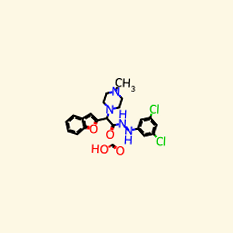 CN1CCN(C(C(=O)NNc2cc(Cl)cc(Cl)c2)c2cc3ccccc3o2)CC1.O=CO